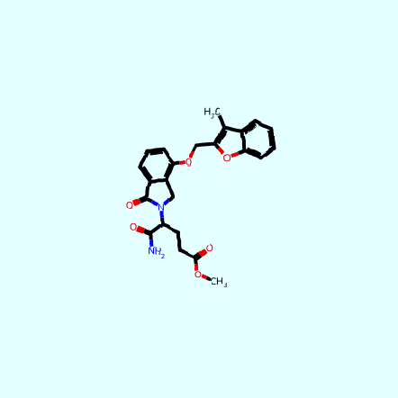 COC(=O)CCC(C(N)=O)N1Cc2c(OCc3oc4ccccc4c3C)cccc2C1=O